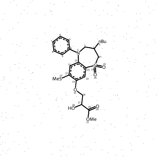 CCCCC1CN(c2ccccc2)c2cc(SC)c(OCC(O)C(=O)OC)cc2S(=O)(=O)C1